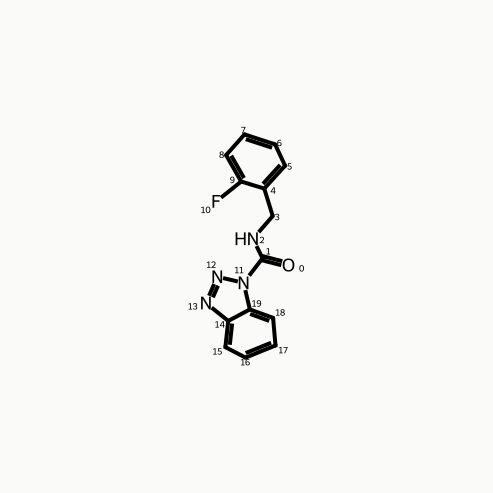 O=C(NCc1ccccc1F)n1nnc2ccccc21